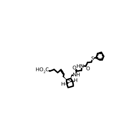 O=C(O)CCC/C=C\C[C@H]1[C@@H](CNC(=O)CNC(=O)CCSc2ccccc2)[C@H]2CC[C@@H]1S2